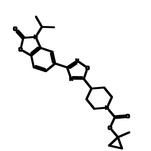 CC(C)n1c(=O)oc2ccc(-c3noc(C4CCN(C(=O)OC5(C)CC5)CC4)n3)cc21